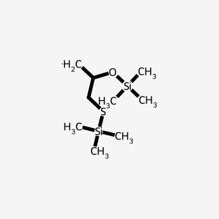 [CH2]C(CS[Si](C)(C)C)O[Si](C)(C)C